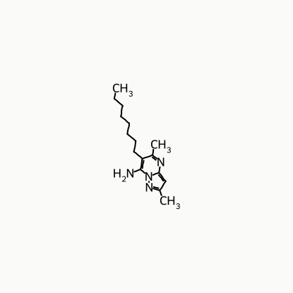 CCCCCCCCc1c(C)nc2cc(C)nn2c1N